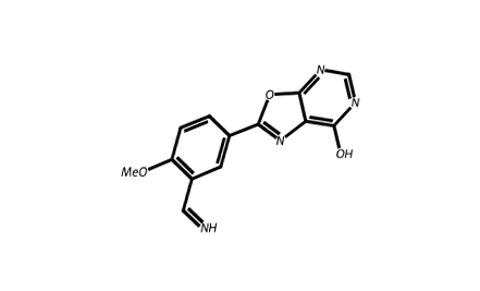 COc1ccc(-c2nc3c(O)ncnc3o2)cc1C=N